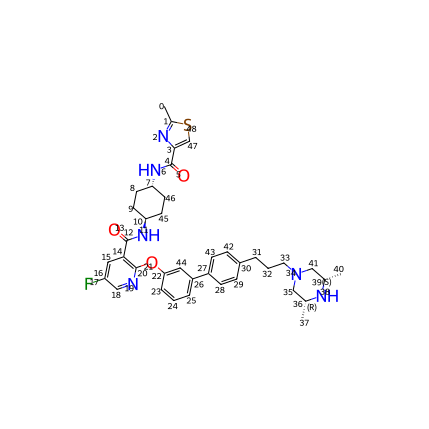 Cc1nc(C(=O)N[C@H]2CC[C@H](NC(=O)c3cc(F)cnc3Oc3cccc(-c4ccc(CCCN5C[C@@H](C)N[C@@H](C)C5)cc4)c3)CC2)cs1